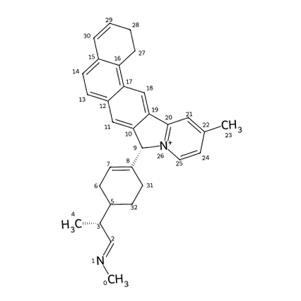 C/N=C/[C@H](C)C1CC=C([C@@H]2c3cc4ccc5c(c4cc3-c3cc(C)cc[n+]32)CCC=C5)CC1